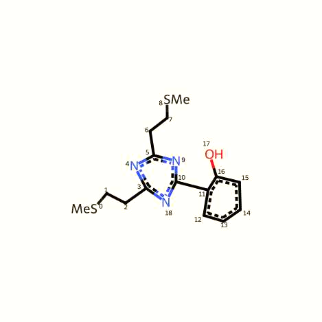 CSCCc1nc(CCSC)nc(-c2ccccc2O)n1